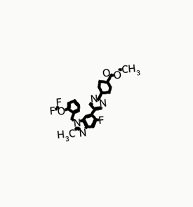 CCOC(=O)C1CCC(c2ncc(-c3cc4c(cc3F)nc(C)n4Cc3ccccc3OC(F)F)cn2)CC1